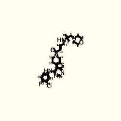 CC(C)(CN1CCOCC1)NCC=CC(=O)N1CCc2c(sc3ncnc(Nc4ccc(F)c(Cl)c4)c23)C1